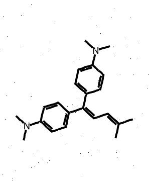 CC(C)=CC=C(c1ccc(N(C)C)cc1)c1ccc(N(C)C)cc1